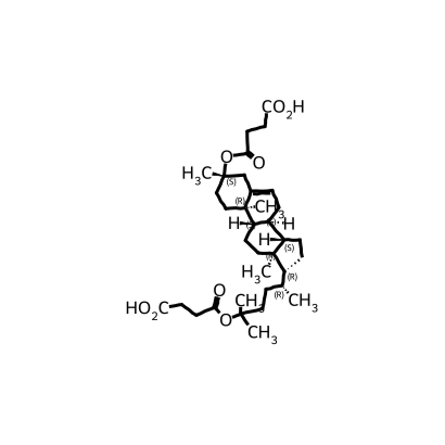 C[C@H](CCC(C)(C)OC(=O)CCC(=O)O)[C@H]1CC[C@H]2[C@@H]3CC=C4C[C@@](C)(OC(=O)CCC(=O)O)CC[C@]4(C)[C@H]3CC[C@]12C